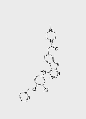 CN1CCN(C(=O)Cc2ccc3c(c2)sc2ncnc(Nc4ccc(OCc5ccccn5)c(Cl)c4)c23)CC1